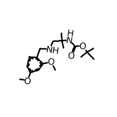 COc1ccc(CNCC(C)(C)NC(=O)OC(C)(C)C)c(OC)c1